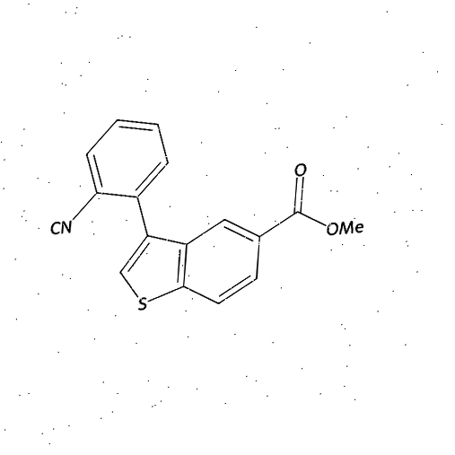 [C-]#[N+]c1ccccc1-c1csc2ccc(C(=O)OC)cc12